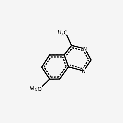 COc1ccc2c(C)ncnc2c1